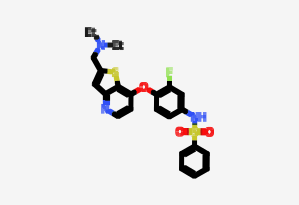 CCN(CC)Cc1cc2nccc(Oc3ccc(NS(=O)(=O)c4ccccc4)cc3F)c2s1